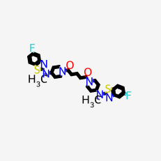 CN(c1nc2cc(F)ccc2s1)C1CCN(C(=O)CCCC(=O)N2CCC(N(C)c3nc4cc(F)ccc4s3)CC2)CC1